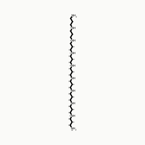 NCCCNCCCNCCCNCCCNCCCNCCCNCCCNCCCNCCCN